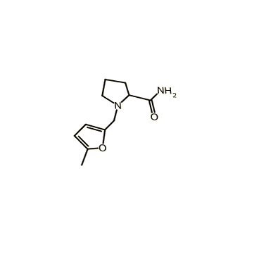 Cc1ccc(CN2CCCC2C(N)=O)o1